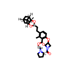 Cc1c(CCB2O[C@@H]3C[C@@H]4C[C@@H](C4(C)C)[C@]3(C)O2)ccc(OC2CN(C(=O)[C@@H]3CCCN3C)C2)c1C(=O)OC(C)(C)C